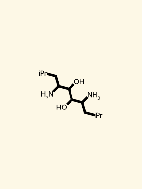 CC(C)CC(N)C(O)C(O)C(N)CC(C)C